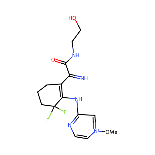 CO[n+]1ccnc(NC2=C(C(=N)C(=O)NCCO)CCCC2(F)F)c1